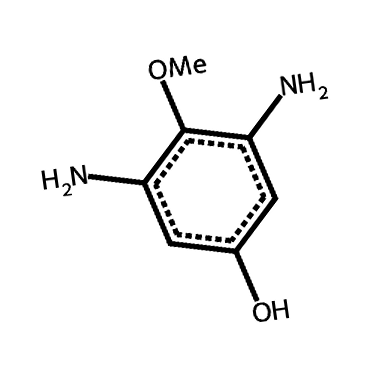 COc1c(N)cc(O)cc1N